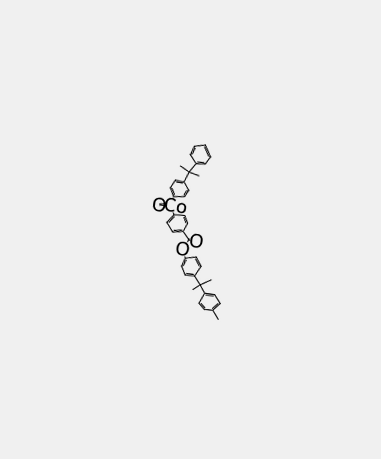 Cc1ccc(C(C)(C)c2ccc(OC(=O)c3cc[c]([Co](=[O])[c]4ccc(C(C)(C)c5ccccc5)cc4)cc3)cc2)cc1